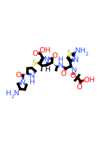 CC(NC(=O)/C(=N\OC(C)(C)C(=O)O)c1csc(N)n1)[C@H]1C(=O)N2C(C(=O)O)=C(S[C@@H]3CN[C@H](C(=O)N4CC[C@@H](N)C4)C3)[C@H](C)[C@H]12